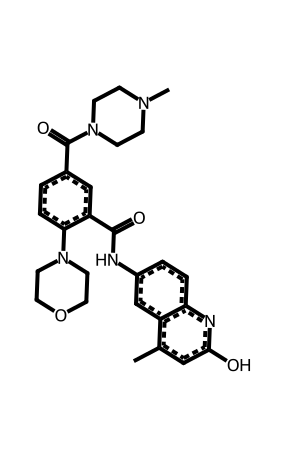 Cc1cc(O)nc2ccc(NC(=O)c3cc(C(=O)N4CCN(C)CC4)ccc3N3CCOCC3)cc12